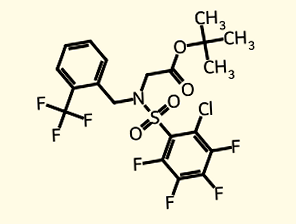 CC(C)(C)OC(=O)CN(Cc1ccccc1C(F)(F)F)S(=O)(=O)c1c(F)c(F)c(F)c(F)c1Cl